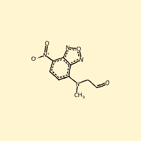 CN(CC=O)c1ccc([N+](=O)[O-])c2nonc12